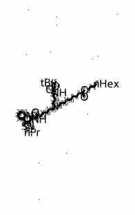 CCCCCC/C=C/COC(=O)CCCCCCCCN(CCCCCC(=O)Nc1nc2ccccc2c2sc(CCC)nc12)CCCNC(=O)OC(C)(C)C